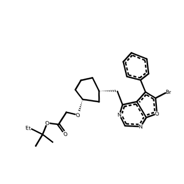 CCC(C)(C)OC(=O)CO[C@@H]1CCC[C@H](Cc2ncnc3oc(Br)c(-c4ccccc4)c23)C1